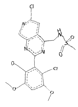 COc1cc(OC)c(Cl)c(-c2nc(NS(C)(=O)=O)c3cc(Cl)ncc3n2)c1Cl